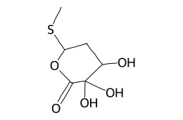 CSC1CC(O)C(O)(O)C(=O)O1